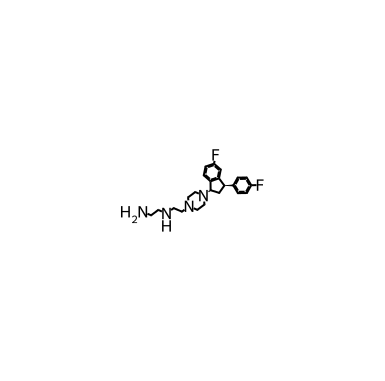 NCCNCCN1CCN([C@H]2C[C@H](c3ccc(F)cc3)c3cc(F)ccc32)CC1